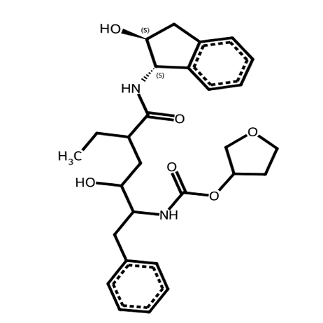 CCC(CC(O)C(Cc1ccccc1)NC(=O)OC1CCOC1)C(=O)N[C@H]1c2ccccc2C[C@@H]1O